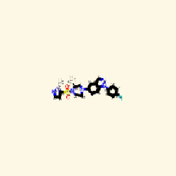 C[C@@H]1CN(c2ccc3c(cnn3-c3ccc(F)cc3)c2)CCN1S(=O)(=O)c1ccnn1C